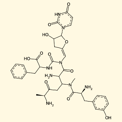 C[C@H](N)C(=O)CC(C(N)C(=O)N(/C=C1\CC(O)C(n2ccc(=O)[nH]c2=O)O1)C(=O)NC(Cc1ccccc1)C(=O)O)N(C)C(=O)[C@@H](N)Cc1cccc(O)c1